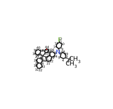 CC(C)c1ccc(N(c2ccc(F)cc2)c2ccc3c4c(ccc3c2)-c2c(ccc3ccccc23)C42c3ccccc3-c3ccccc32)cc1